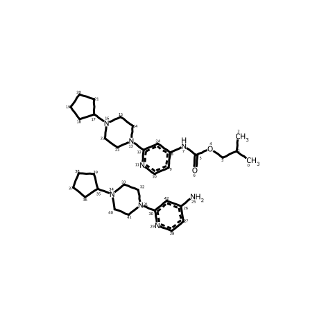 CC(C)COC(=O)Nc1ccnc(N2CCN(C3CCCC3)CC2)c1.Nc1ccnc(N2CCN(C3CCCC3)CC2)c1